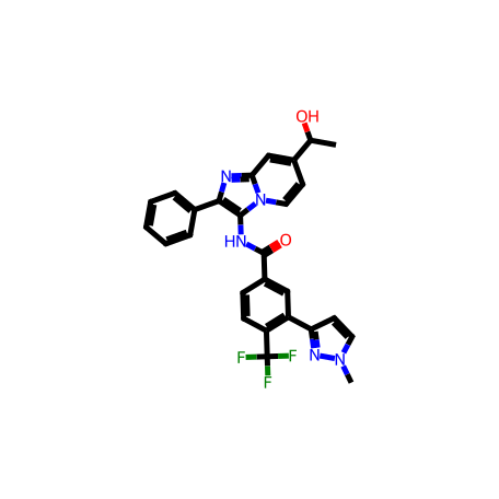 CC(O)c1ccn2c(NC(=O)c3ccc(C(F)(F)F)c(-c4ccn(C)n4)c3)c(-c3ccccc3)nc2c1